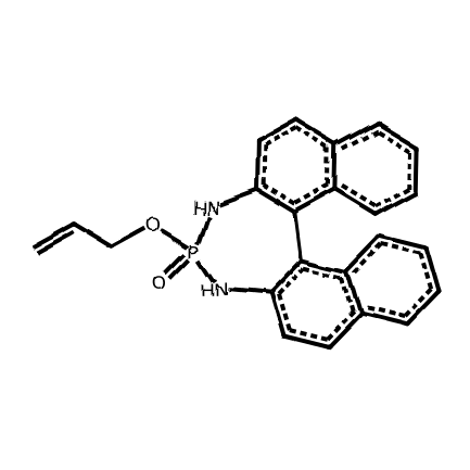 C=CCOP1(=O)Nc2ccc3ccccc3c2-c2c(ccc3ccccc23)N1